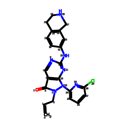 C=CCn1c(=O)c2cnc(Nc3ccc4c(c3)CNCC4)nc2n1-c1cccc(Cl)n1